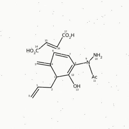 C=CCC1C(=C)C=CC(N(N)C(C)=O)=C1O.O=C(O)/C=C/C(=O)O